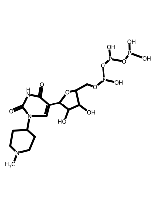 CN1CCC(n2cc(C3OC(COP(O)OP(O)OP(O)O)C(O)C3O)c(=O)[nH]c2=O)CC1